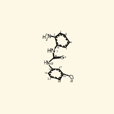 Nc1ccccc1NC(=S)Nc1cccc(Cl)c1